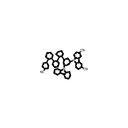 N#Cc1ccc(-c2ccccc2-c2ccccc2-c2ccccc2-c2cc(-n3c4ccccc4c4ccccc43)cc(-n3c4ccc(C#N)cc4c4cc(C#N)ccc43)c2)cc1